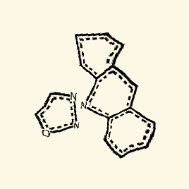 c1ccc2nc3ccccc3cc2c1.c1conn1